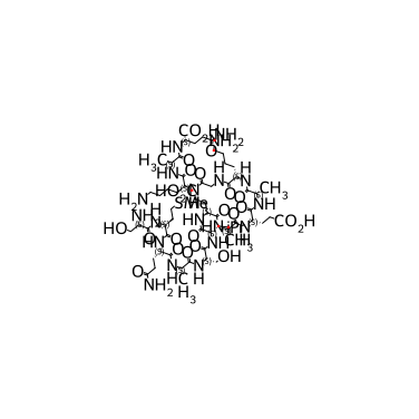 CSCC[C@H](NC(=O)[C@@H](N)CO)C(=O)N[C@@H](CCC(N)=O)C(=O)N[C@@H](C)C(=O)N[C@@H](CO)C(=O)N[C@@H](CC(C)C)C(=O)N[C@@H](CCC(=O)O)C(=O)N[C@@H](C)C(=O)N[C@@H](CCC(=O)O)C(=O)N[C@@H](C)C(=O)N[C@@H](CCCCN)C(=O)NCC(=O)N[C@@H](CCCCN)C(=O)N[C@@H](C)C(=O)N[C@@H](CCC(N)=O)C(=O)O